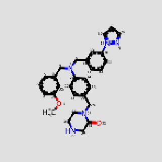 COc1cccc(CN(Cc2cccc(-n3cccn3)c2)c2ccc(CN3CCNCC3=O)cc2)c1